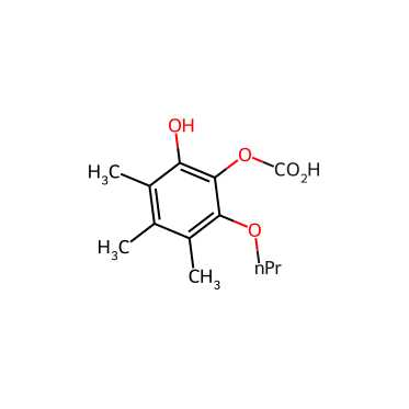 CCCOc1c(C)c(C)c(C)c(O)c1OC(=O)O